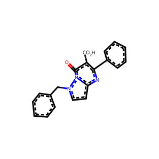 O=C(O)c1c(-c2ccccc2)nc2ccn(Cc3ccccc3)n2c1=O